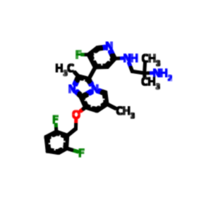 Cc1cc(OCc2c(F)cccc2F)c2nc(C)c(-c3cc(NCC(C)(C)N)ncc3F)n2c1